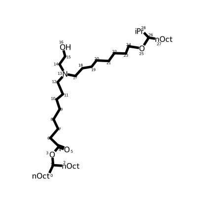 CCCCCCCCC(CCCCCCCC)OC(=O)CCCCCCCN(CCO)CCCCCCCCOC(CCCCCCCC)C(C)C